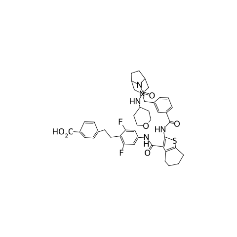 O=C(O)c1ccc(CCc2c(F)cc(NC(=O)c3c(NC(=O)c4cccc(CN5CC6CCC(C5)N6C(=O)NC5CCOCC5)c4)sc4c3CCCC4)cc2F)cc1